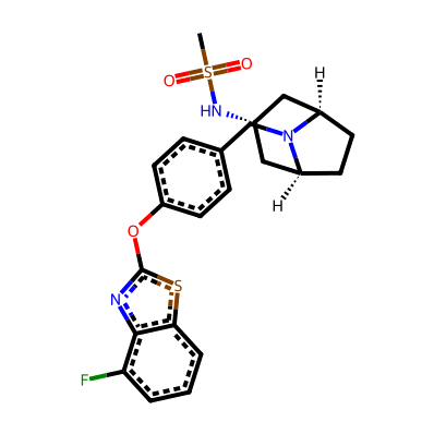 CS(=O)(=O)N[C@@H]1C[C@H]2CC[C@@H](C1)N2Cc1ccc(Oc2nc3c(F)cccc3s2)cc1